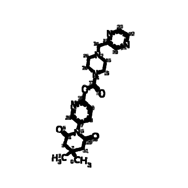 CC1(C)CC(=O)N(c2ccc(OC(=O)N3CCN(Cc4cnccn4)CC3)nc2)C(=O)C1